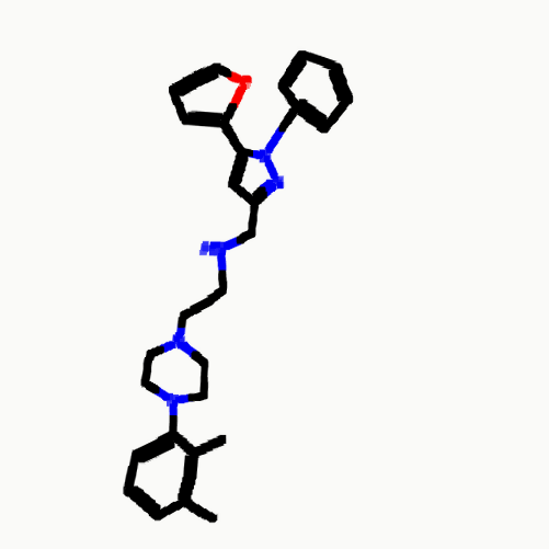 Cc1cccc(N2CCN(CCNCc3cc(-c4ccco4)n(-c4ccccc4)n3)CC2)c1C